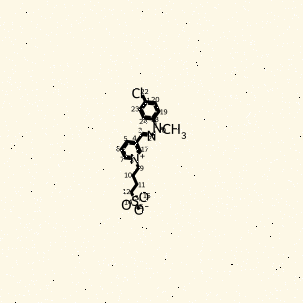 CN(N=Cc1ccc[n+](CCCCS(=O)(=O)[O-])c1)c1ccc(Cl)cc1